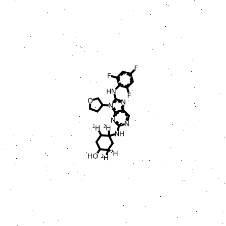 [2H]C1CC(O)C([2H])([2H])CC1([2H])Nc1ncc2nc(Nc3c(F)cc(F)cc3F)n(C3CCOC3)c2n1